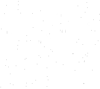 Cc1ccc(CC(CNS(C)(=O)=O)n2/c(=N\C(=O)O)n(Cc3ccc(C)cc3)c3ccccc32)cc1